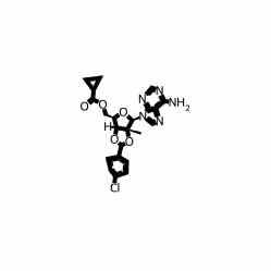 C[C@@]12OC(c3ccc(Cl)cc3)O[C@@H]1[C@@H](COC(=O)C1CC1)O[C@H]2n1cnc2c(N)ncnc21